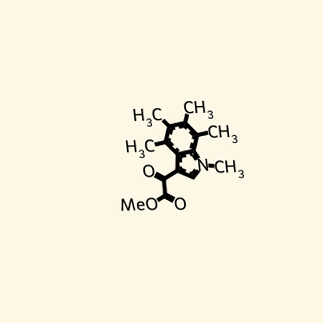 COC(=O)C(=O)c1cn(C)c2c(C)c(C)c(C)c(C)c12